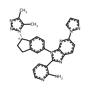 Cc1nnn([C@H]2CCc3cc(-n4c(-c5cccnc5N)nc5ccc(-n6cccn6)nc54)ccc32)c1C